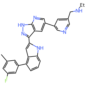 CCNCc1cncc(-c2cnc3[nH]nc(-c4cc5c(-c6cc(C)cc(F)c6)cccc5[nH]4)c3c2)c1